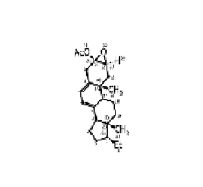 CC[C@H]1CCC2C3=CC=C4C[C@]5(OC(C)=O)O[C@H]5C[C@]4(C)C3CC[C@@]21C